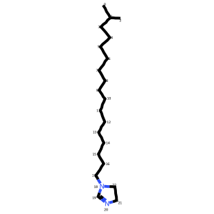 CC(C)CCCCCCCCCCCCCCCN1C=NCC1